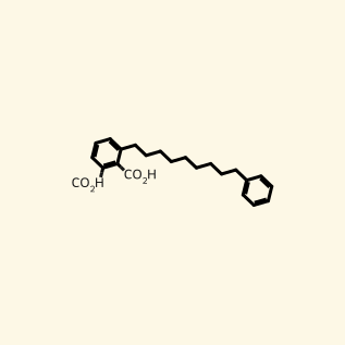 O=C(O)c1cccc(CCCCCCCCCc2ccccc2)c1C(=O)O